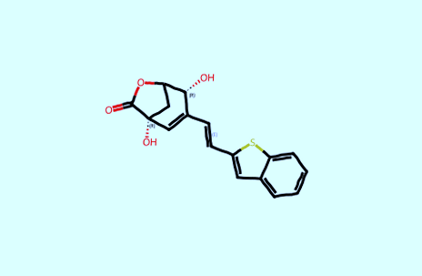 O=C1OC2C[C@@]1(O)C=C(/C=C/c1cc3ccccc3s1)[C@H]2O